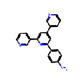 Nc1ccc(-c2cc(-c3cccnc3)cc(-c3cccnc3)n2)cc1